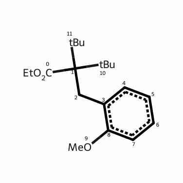 CCOC(=O)C(Cc1ccccc1OC)(C(C)(C)C)C(C)(C)C